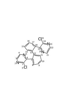 Clc1nccnc1-c1ccccc1-c1ccccc1-c1nccnc1Cl